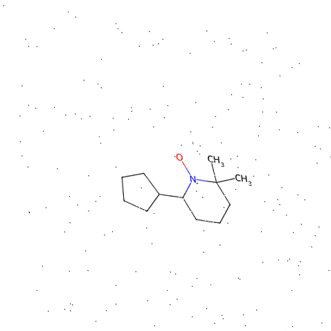 CC1(C)CCCC(C2CCCC2)N1[O]